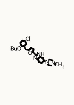 CC(C)COc1ccc(Cl)cc1Cc1ccc(-c2nc3ccc(N4CCN(C)CC4)cc3[nH]2)o1